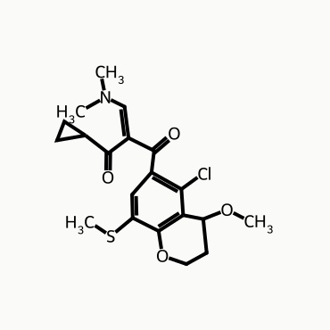 COC1CCOc2c(SC)cc(C(=O)C(=CN(C)C)C(=O)C3CC3)c(Cl)c21